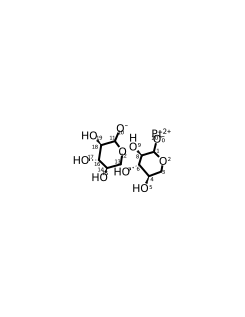 [O-]C1OC[C@@H](O)[C@H](O)[C@H]1O.[O-]C1OC[C@@H](O)[C@H](O)[C@H]1O.[Pt+2]